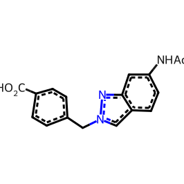 CC(=O)Nc1ccc2cn(Cc3ccc(C(=O)O)cc3)nc2c1